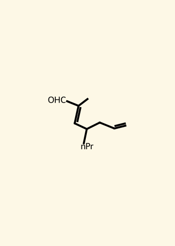 C=CCC(/C=C(\C)C=O)CCC